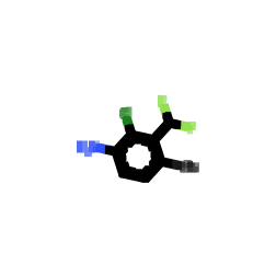 CC(C)(C)c1ccc(N)c(Cl)c1C(F)F